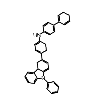 C1=CC(c2ccc(NC3=CC=C(C4=CC=C5C(C4)c4ccccc4N5c4ccccc4)CC3)cc2)=CCC1